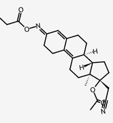 CCC(=O)O/N=C1/C=C2CC[C@@H]3C(=C2CC1)CC[C@@]1(C)[C@H]3CC[C@]1(CC#N)OC(C)=O